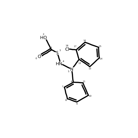 O=C(O)SNN(c1ccccc1)c1ccccc1Cl